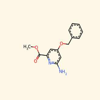 COC(=O)c1cc(OCc2ccccc2)cc(N)n1